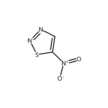 O=[N+]([O-])C1=CN=[N+]S1